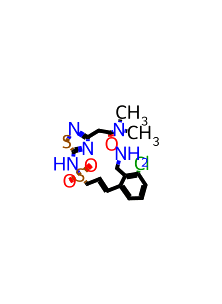 CN(C)C(=O)Cc1nsc(NS(=O)(=O)CC=Cc2cccc(Cl)c2CN)n1